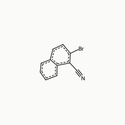 N#Cc1c(Br)ccc2ccccc12